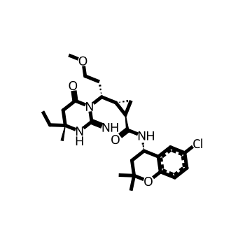 CC[C@]1(C)CC(=O)N([C@H](CCOC)[C@@H]2C[C@H]2C(=O)N[C@H]2CC(C)(C)Oc3ccc(Cl)cc32)C(=N)N1